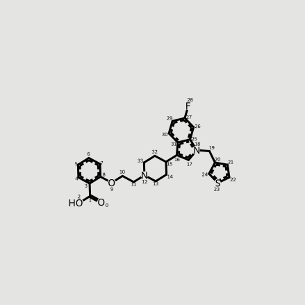 O=C(O)c1ccccc1OCCN1CCC(c2cn(Cc3ccsc3)c3cc(F)ccc23)CC1